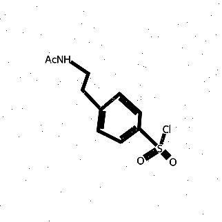 CC(=O)NCCc1ccc(S(=O)(=O)Cl)cc1